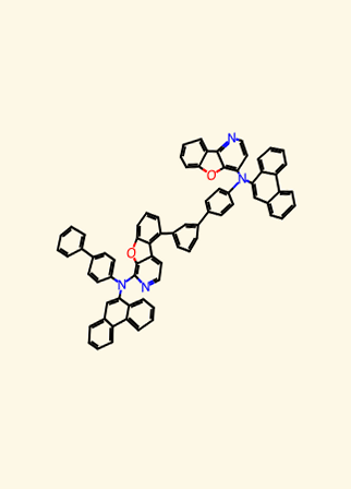 c1ccc(-c2ccc(N(c3cc4ccccc4c4ccccc34)c3nccc4c3oc3cccc(-c5cccc(-c6ccc(N(c7cc8ccccc8c8ccccc78)c7ccnc8c7oc7ccccc78)cc6)c5)c34)cc2)cc1